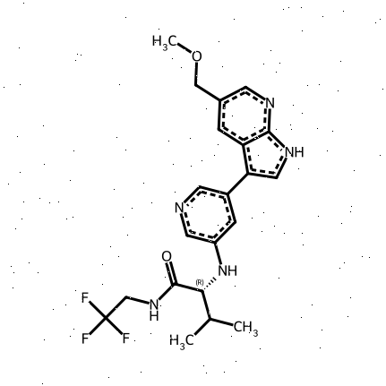 COCc1cnc2[nH]cc(-c3cncc(N[C@@H](C(=O)NCC(F)(F)F)C(C)C)c3)c2c1